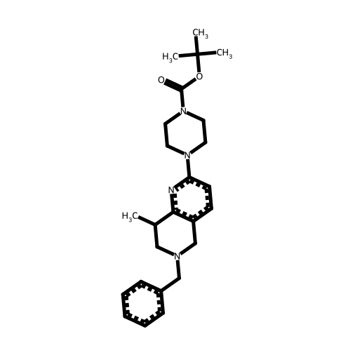 CC1CN(Cc2ccccc2)Cc2ccc(N3CCN(C(=O)OC(C)(C)C)CC3)nc21